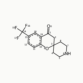 O=C1CC2(CCNCC2)Oc2ccc(C(F)(F)F)cc21